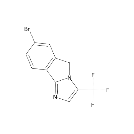 FC(F)(F)c1cnc2n1Cc1cc(Br)ccc1-2